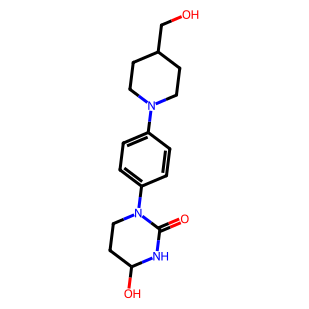 O=C1NC(O)CCN1c1ccc(N2CCC(CO)CC2)cc1